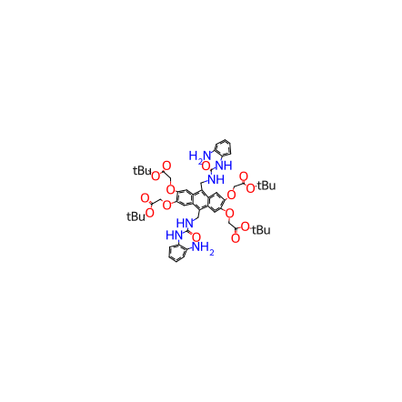 CC(C)(C)OC(=O)COc1cc2c(CNC(=O)Nc3ccccc3N)c3cc(OCC(=O)OC(C)(C)C)c(OCC(=O)OC(C)(C)C)cc3c(CNC(=O)Nc3ccccc3N)c2cc1OCC(=O)OC(C)(C)C